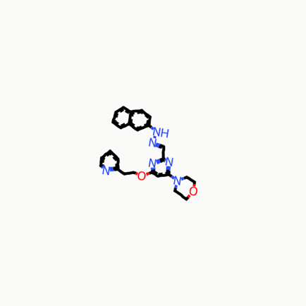 C(=NNc1ccc2ccccc2c1)c1nc(OCCc2ccccn2)cc(N2CCOCC2)n1